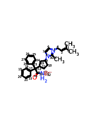 CC(C)=CC[n+]1ccn(C2CCC(C(C(N)=O)(c3ccccc3)c3ccccc3)C2)c1C.[Br-]